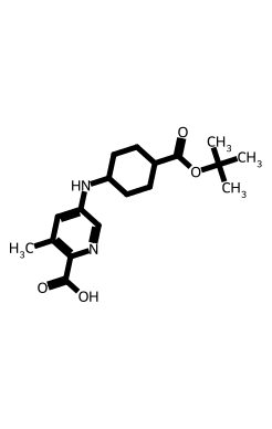 Cc1cc(NC2CCC(C(=O)OC(C)(C)C)CC2)cnc1C(=O)O